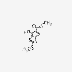 CCOC(=O)c1sc2nc(SC)sc2c1O